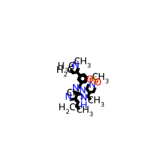 C=C/C(=C\N(C)C)c1cccc(-c2ncc(C(/C=N\C)=C/C(=C)C)c(NC(C)C3CCN(S(C)(=O)=O)CC3)n2)c1